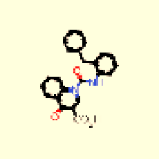 O=C(O)c1cn(C(=O)Nc2ccccc2Cc2ccccc2)c2ccccc2c1=O